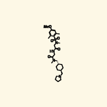 COc1cc(C)c(S(=O)(=O)N(C)CC(=O)NCC(=O)N(C)C[C@H]2CC[C@H](CN3CCCC3)CC2)c(C)c1